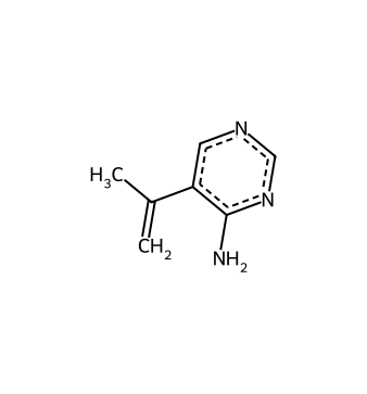 C=C(C)c1cncnc1N